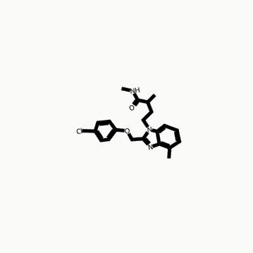 CNC(=O)C(C)CCn1c(COc2ccc(Cl)cc2)nc2c(C)cccc21